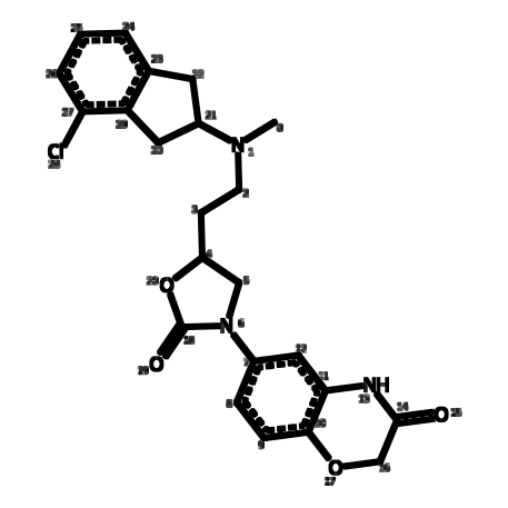 CN(CCC1CN(c2ccc3c(c2)NC(=O)CO3)C(=O)O1)C1Cc2cccc(Cl)c2C1